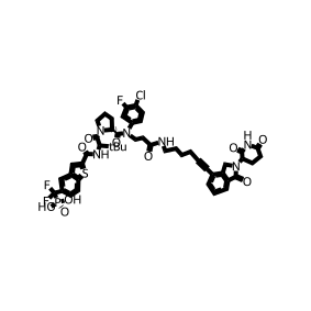 CC(C)(C)C(NC(=O)c1cc2cc(C(F)(F)P(=O)(O)O)ccc2s1)C(=O)N1CCC[C@H]1C(=O)N(CCC(=O)NCCCCC#Cc1cccc2c1CN(C1CCC(=O)NC1=O)C2=O)c1ccc(Cl)c(F)c1